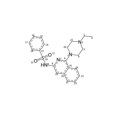 CCN1CCN(c2nc(NS(=O)(=O)c3ccccc3)cc3ccccc23)CC1